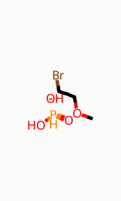 COCCBr.O=[PH](O)O